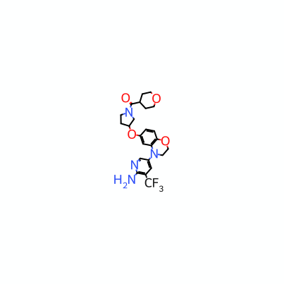 Nc1ncc(N2CCOc3ccc(OC4CCN(C(=O)C5CCOCC5)C4)cc32)cc1C(F)(F)F